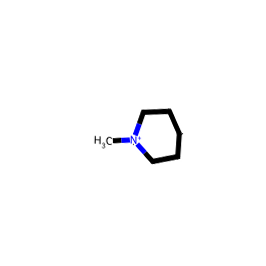 C[N+]1CC[CH]CC1